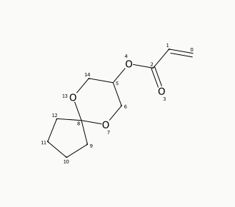 C=CC(=O)OC1COC2(CCCC2)OC1